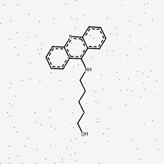 OCCCCCNc1c2ccccc2nc2ccccc12